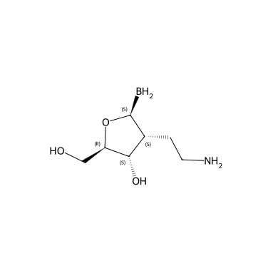 B[C@@H]1O[C@H](CO)[C@@H](O)[C@H]1CCN